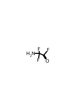 NC(F)(F)C(=O)F